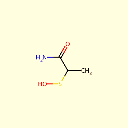 CC(SO)C(N)=O